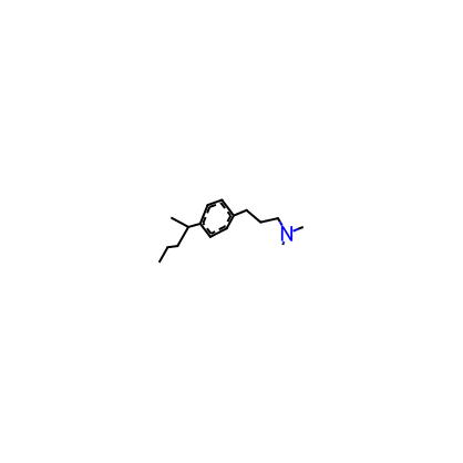 CCCC(C)c1ccc(CCCN(C)C)cc1